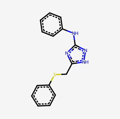 c1ccc(Nc2n[nH]c(CSc3ccccc3)n2)cc1